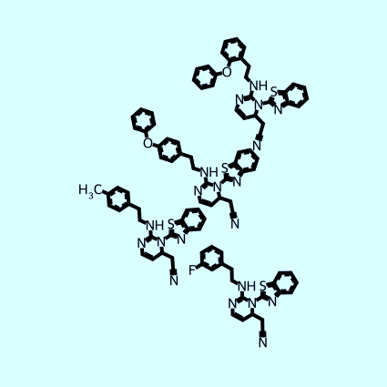 Cc1ccc(CCNC2=NC=CC(CC#N)N2c2nc3ccccc3s2)cc1.N#CCC1C=CN=C(NCCc2ccc(Oc3ccccc3)cc2)N1c1nc2ccccc2s1.N#CCC1C=CN=C(NCCc2cccc(F)c2)N1c1nc2ccccc2s1.N#CCC1C=CN=C(NCCc2ccccc2Oc2ccccc2)N1c1nc2ccccc2s1